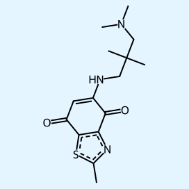 Cc1nc2c(s1)C(=O)C=C(NCC(C)(C)CN(C)C)C2=O